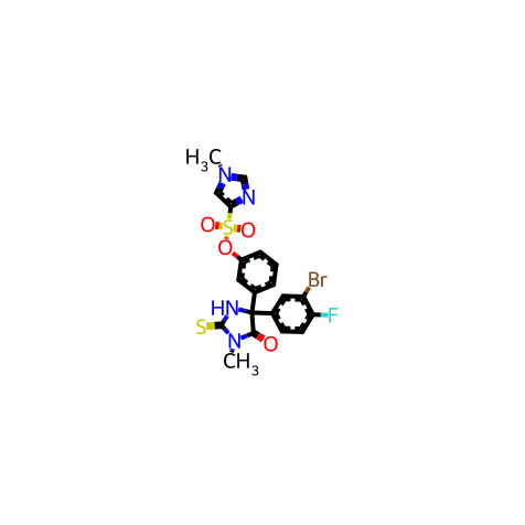 CN1C(=O)C(c2cccc(OS(=O)(=O)c3cn(C)cn3)c2)(c2ccc(F)c(Br)c2)NC1=S